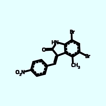 Cc1c(Br)cc(Br)c2c1C(=Cc1ccc([N+](=O)[O-])cc1)C(=O)N2